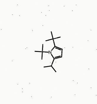 CC(C)c1ccc(C(C)(C)C)n1C(C)(C)C